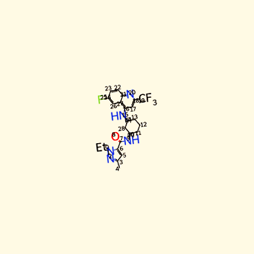 CCn1nc(C)cc1C(=O)N[C@@H]1CCC[C@H](Nc2cc(C(F)(F)F)nc3ccc(F)cc23)C1